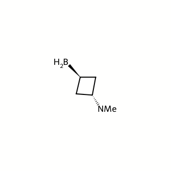 B[C@H]1C[C@H](NC)C1